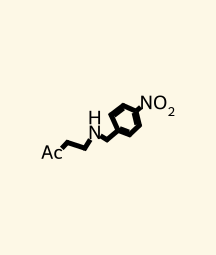 CC(=O)CCNCc1ccc([N+](=O)[O-])cc1